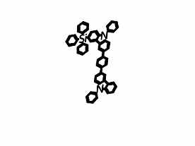 c1ccc(-n2c3ccccc3c3cc(-c4ccc(-c5ccc6c(c5)c5cc([Si](c7ccccc7)(c7ccccc7)c7ccccc7)ccc5n6-c5ccccc5)cc4)ccc32)cc1